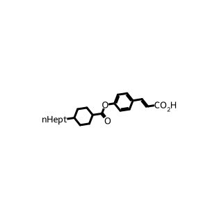 CCCCCCCC1CCC(C(=O)Oc2ccc(C=CC(=O)O)cc2)CC1